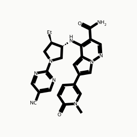 CC[C@@H]1CN(c2ncc(C#N)cn2)C[C@H]1Nc1c(C(N)=O)cnn2cc(-c3ccc(=O)n(C)c3)cc12